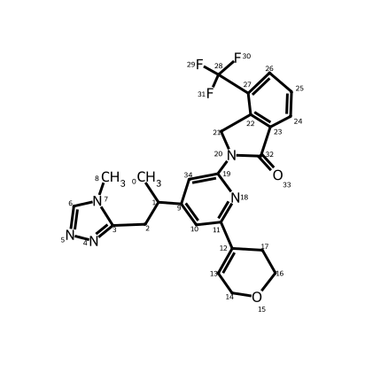 CC(Cc1nncn1C)c1cc(C2=CCOCC2)nc(N2Cc3c(cccc3C(F)(F)F)C2=O)c1